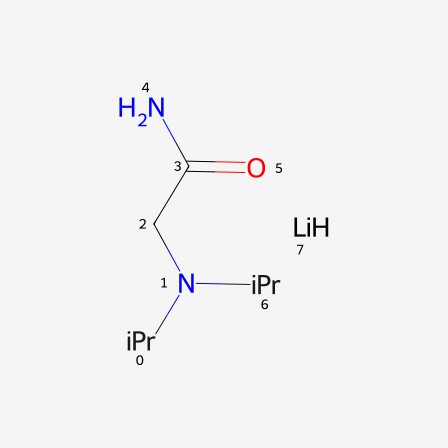 CC(C)N(CC(N)=O)C(C)C.[LiH]